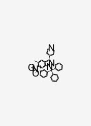 Cc1cc2c(-c3ccncc3)nn(C(c3ccccc3)(c3ccccc3)c3ccccc3)c2cc1[N+](=O)[O-]